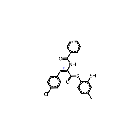 Cc1ccc(SC(=O)/C(=C\c2ccc(Cl)cc2)NC(=O)c2ccccc2)c(S)c1